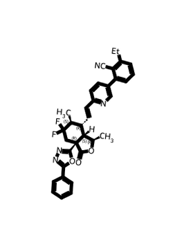 CCc1cccc(-c2ccc(C=C[C@@H]3[C@@H]4[C@@H](C)OC(=O)[C@]4(c4nnc(-c5ccccc5)o4)CC(F)(F)[C@H]3C)nc2)c1C#N